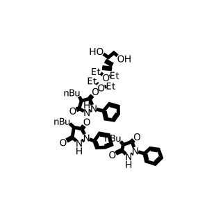 C=C.C=C.CCCCC1C(=O)NN(c2ccccc2)C1=O.CCCCC1C(=O)NN(c2ccccc2)C1=O.CCCCC1C(=O)NN(c2ccccc2)C1=O.CCOCC.CCOCC.OCCO